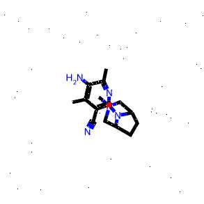 Cc1nc(N2C3CCC2CN(C)C3)c(C#N)c(C)c1N